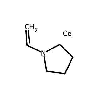 C=CN1CCCC1.[Ce]